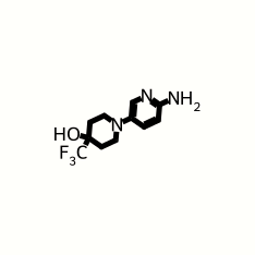 Nc1ccc(N2CCC(O)(C(F)(F)F)CC2)cn1